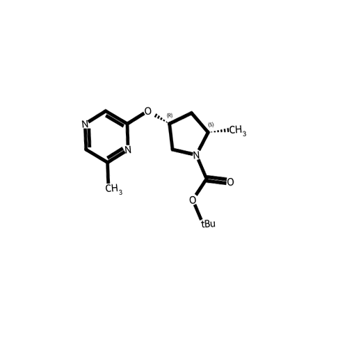 Cc1cncc(O[C@@H]2C[C@H](C)N(C(=O)OC(C)(C)C)C2)n1